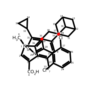 Cn1cc(C(=O)O)c2c(F)cc(N3CC4CC(C3)C4OCc3c(-c4c(Cl)cccc4Cl)noc3C3CC3)cc21